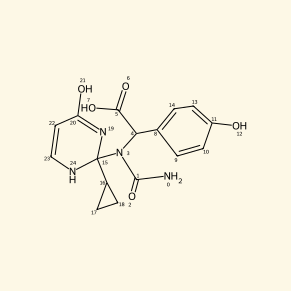 NC(=O)N(C(C(=O)O)c1ccc(O)cc1)C1(C2CC2)N=C(O)C=CN1